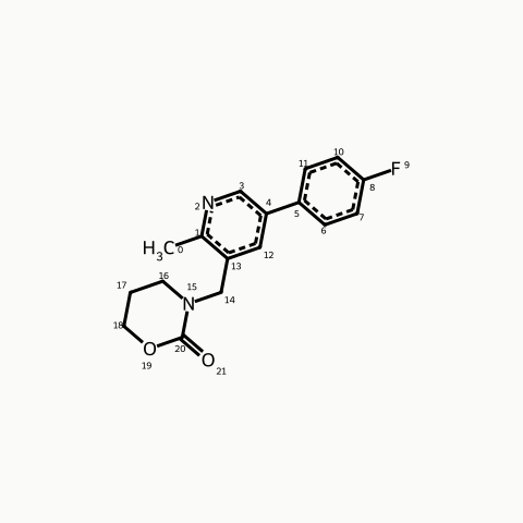 Cc1ncc(-c2ccc(F)cc2)cc1CN1CCCOC1=O